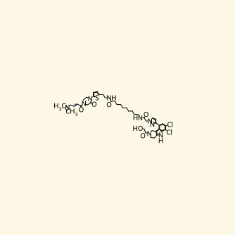 CN(C)C/C=C/C(=O)N1CCN(c2ccc(CCNC(=O)CCCCCCCCCNC(=O)Cn3ccc(-c4cc(Cl)c(Cl)c5[nH]c6c(c45)CN(C(=O)CO)CC6)n3)s2)C(=O)C1